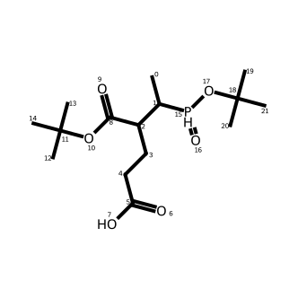 CC(C(CCC(=O)O)C(=O)OC(C)(C)C)[PH](=O)OC(C)(C)C